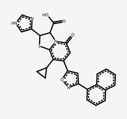 O=C(O)C1C(c2c[nH]cn2)Sc2c(C3CC3)c(-c3cc(-c4cccc5ccccc45)no3)cc(=O)n21